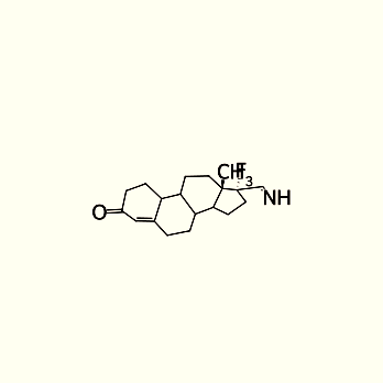 C[C@]12CCC3C4CCC(=O)C=C4CCC3C1CC[C@]2(F)C=N